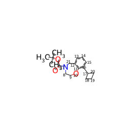 CC(C)(C)OC(=O)N1CCOc2c(cccc2C2CCC2)C1